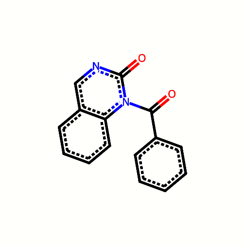 O=C(c1ccccc1)n1c(=O)ncc2ccccc21